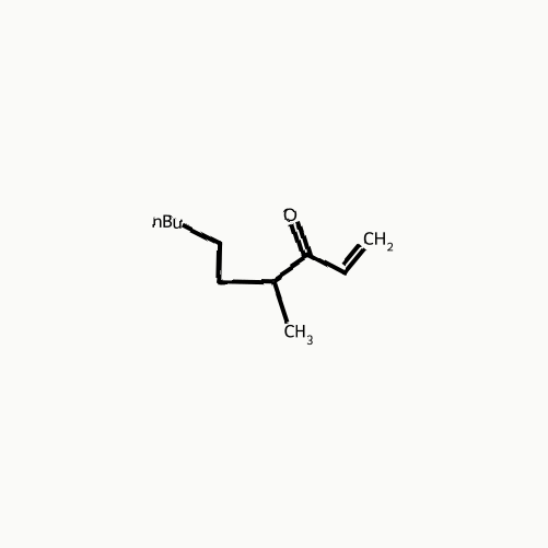 C=CC(=O)C(C)CCCCCC